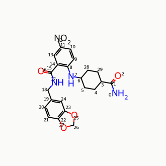 NC(=O)C1CCC(Nc2ccc([N+](=O)[O-])cc2C(=O)NCc2ccc3c(c2)OCO3)CC1